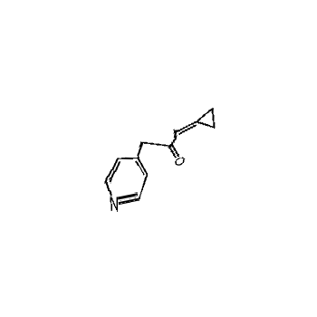 O=C(C=C1CC1)Cc1ccncc1